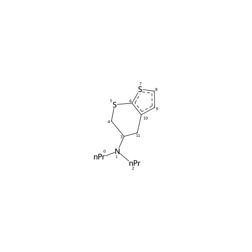 CCCN(CCC)C1CSc2sccc2C1